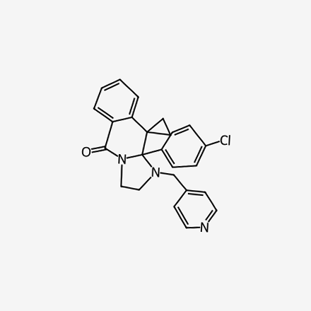 O=C1c2ccccc2C2(CC2)C2(c3ccc(Cl)cc3)N(Cc3ccncc3)CCN12